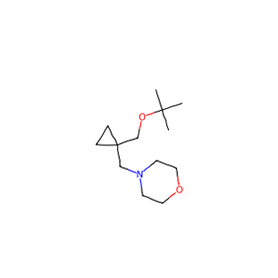 CC(C)(C)OCC1(CN2CCOCC2)CC1